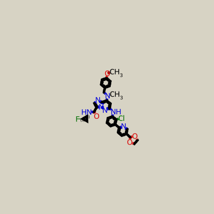 COc1ccc(CN(C)c2cc(Nc3cccc(-c4ccc(C5OCCO5)cn4)c3Cl)nn3c(C(=O)N[C@@H]4C[C@@H]4F)cnc23)cc1